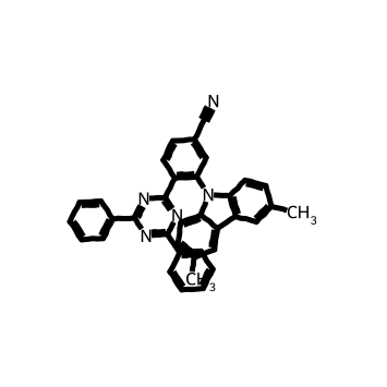 Cc1ccc2c(c1)c1cc(C)ccc1n2-c1cc(C#N)ccc1-c1nc(-c2ccccc2)nc(-c2ccccc2)n1